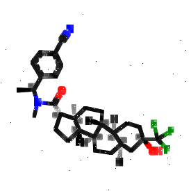 C[C@@H](c1ccc(C#N)cc1)N(C)C(=O)[C@H]1CC[C@H]2[C@@H]3CC[C@@H]4C[C@@](O)(C(F)(F)F)CC[C@@H]4[C@H]3CC[C@]12C